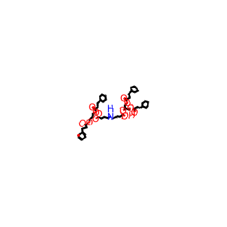 O=C(CCC1CCCCC1)OCC(COC(=O)CCC1CCCCC1)OC(=O)CCCNCCCC(O)OC(COC(=O)CCC1CCCCC1)COC(=O)CCC1CCCCC1